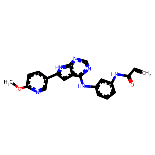 C=CC(=O)Nc1cccc(Nc2ncnc3[nH]c(-c4ccc(OC)nc4)cc23)c1